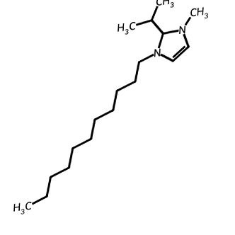 CCCCCCCCCCCN1C=CN(C)C1C(C)C